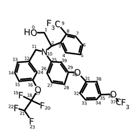 OCC(c1ccccc1C(F)(F)F)N(Cc1cccc(OC(F)(F)C(F)F)c1)c1cccc(Oc2cccc(OC(F)(F)F)c2)c1